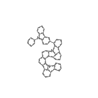 c1ccc(-n2c3ccccc3c3cc(-c4cccc5c6cccc7c8c9c(ccc%10c%11cccc%12c%13ccccc%13n(c%12%11)c%109)ccc8n(c45)c67)ccc32)cc1